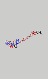 CCOC(=O)COCCOCCOCCOCCNc1cccc2c1C(=O)N(C1CCC(=O)NC1=O)C2=O